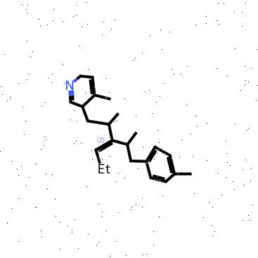 CC/C=C(\C(C)Cc1ccc(C)cc1)C(C)CC1C=NCC=C1C